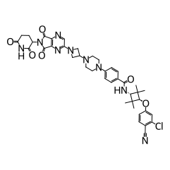 CC1(C)[C@H](NC(=O)c2ccc(N3CCN(C4CN(c5cnc6c(n5)C(=O)N(C5CCC(=O)NC5=O)C6=O)C4)CC3)cc2)C(C)(C)[C@H]1Oc1ccc(C#N)c(Cl)c1